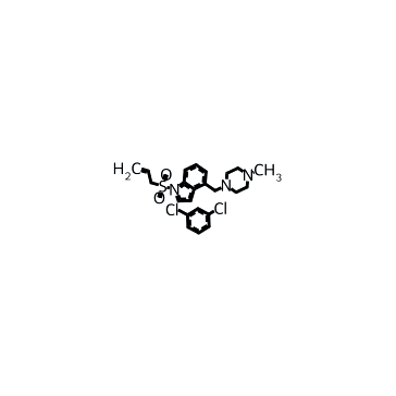 C=CCS(=O)(=O)n1ccc2c(CN3CCN(C)CC3)cccc21.Clc1cccc(Cl)c1